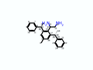 Cc1cc([C@H](C)c2ccccc2)c(C(N)CN)c([C@H](C)c2ccccc2)c1